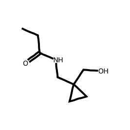 CCC(=O)NCC1(CO)CC1